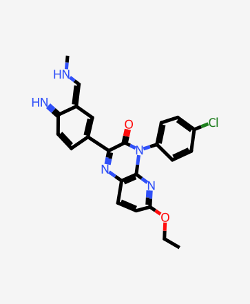 CCOc1ccc2nc(C3=C/C(=C/NC)C(=N)C=C3)c(=O)n(-c3ccc(Cl)cc3)c2n1